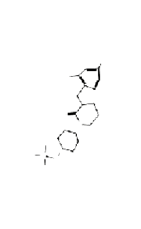 CC(C)(C)[Si](C)(C)O[C@H]1CC[C@H](N2CCCC(Cc3ccc(Br)cc3Cl)C2=O)CC1